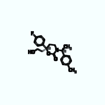 Cc1ccc([C@H](C)N2CC[C@](CCO)(c3ccc(F)cc3)OC2=O)cc1